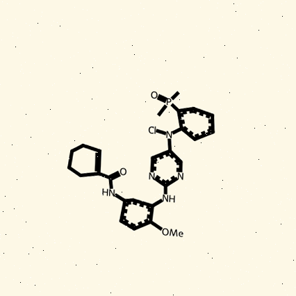 COc1ccc(NC(=O)C2=CCCCC2)cc1Nc1ncc(N(Cl)c2ccccc2P(C)(C)=O)cn1